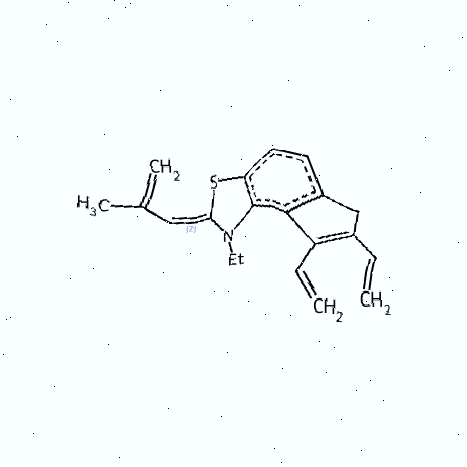 C=CC1=C(C=C)c2c(ccc3c2N(CC)/C(=C/C(=C)C)S3)C1